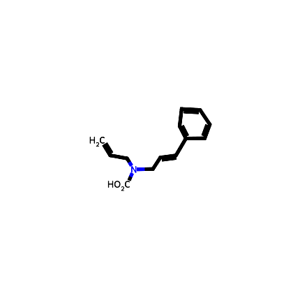 C=CCN(CC=Cc1ccccc1)C(=O)O